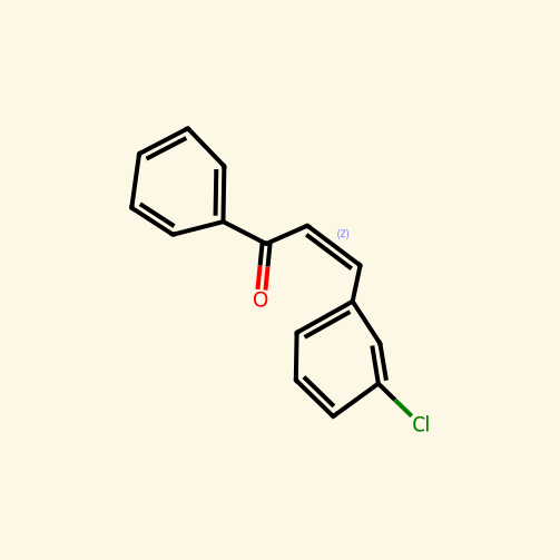 O=C(/C=C\c1cccc(Cl)c1)c1ccccc1